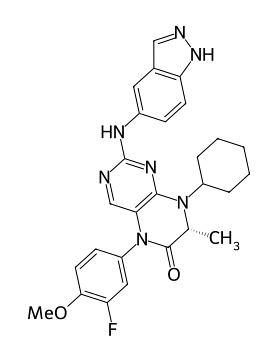 COc1ccc(N2C(=O)[C@@H](C)N(C3CCCCC3)c3nc(Nc4ccc5[nH]ncc5c4)ncc32)cc1F